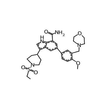 CCS(=O)(=O)N1CCC(c2c[nH]c3c(C(N)=O)cc(-c4ccc(OC)c(CN5CCOCC5)c4)cc23)CC1